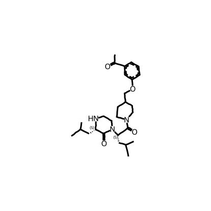 CC(=O)c1cccc(OCC2CCN(C(=O)[C@H](CC(C)C)N3CCN[C@@H](CC(C)C)C3=O)CC2)c1